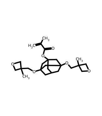 C=C(C)C(=O)OC12CC3CC(OCC4(C)COC4)(CC(OCC4(C)COC4)(C3)C1)C2